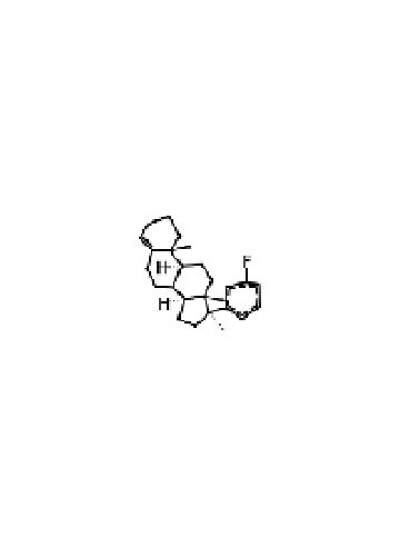 C[C@]12CCCC=C1CCC1[C@@H]2CC[C@@]2(C)[C@H]1CC[C@]2(C)c1cccc(F)c1